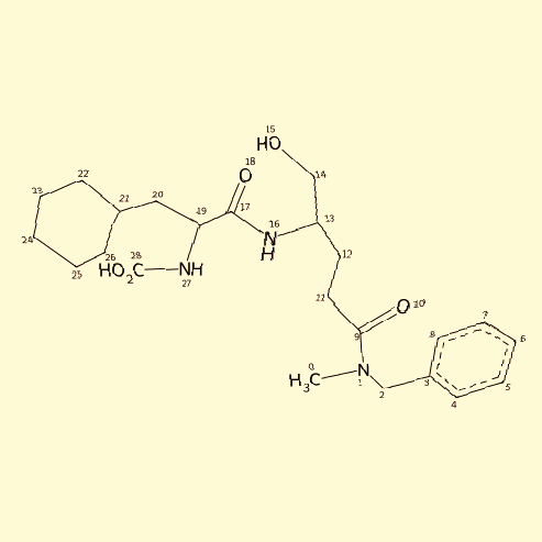 CN(Cc1ccccc1)C(=O)CCC(CO)NC(=O)C(CC1CCCCC1)NC(=O)O